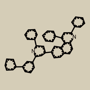 c1ccc(-c2cccc(-c3cc(-c4ccc5ccc6nc(-c7ccccc7)cc(-c7ccccc7)c6c5c4)cc(-c4ccccc4)n3)c2)cc1